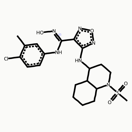 Cc1cc(N/C(=N\O)c2nonc2NC2CCN(S(C)(=O)=O)C3CCCCC23)ccc1Cl